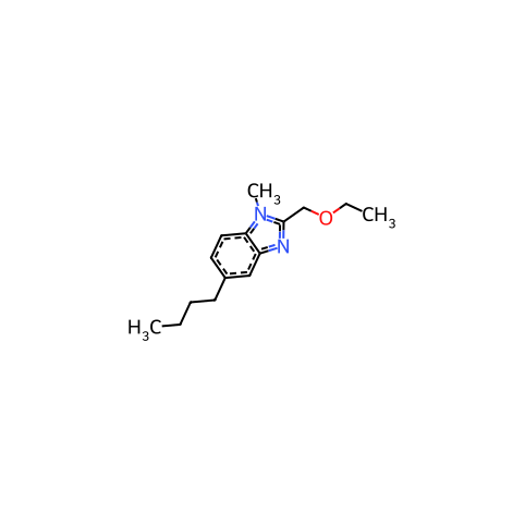 CCCCc1ccc2c(c1)nc(COCC)n2C